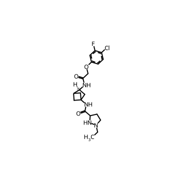 CCN1CCC(C(=O)NC23CC(C2)[C@@H](NC(=O)COc2ccc(Cl)c(F)c2)C3)N1